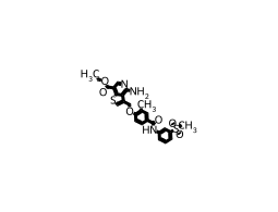 CCOC(=O)c1cnc(N)c2c(COc3ccc(C(=O)Nc4cccc(S(C)(=O)=O)c4)cc3C)csc12